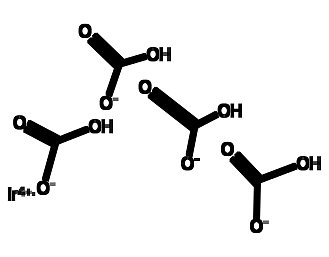 O=C([O-])O.O=C([O-])O.O=C([O-])O.O=C([O-])O.[Ir+4]